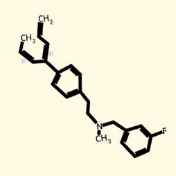 C=C/C=C(\C=C/C)c1ccc(CCN(C)Cc2cccc(F)c2)cc1